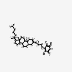 CC(C)CCCC(C)C1CCC2C3CCC4CC(OCCOc5c(F)c(F)cc(F)c5F)CCC4(C)C3CCC12C